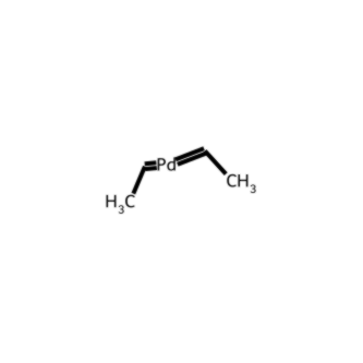 C[CH]=[Pd]=[CH]C